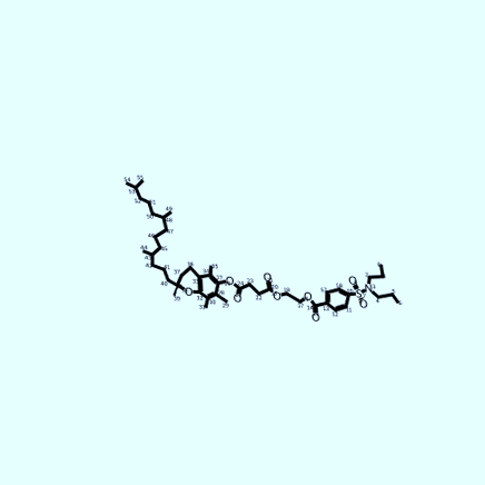 CCCN(CCC)S(=O)(=O)c1ccc(C(=O)OCCOC(=O)CCC(=O)Oc2c(C)c(C)c3c(c2C)CC[C@@](C)(CCCC(C)CCCC(C)CCCC(C)C)O3)cc1